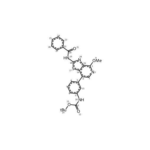 COc1ncc(-c2cccc(NC(=O)OC(C)(C)C)c2)c2sc(NC(=O)c3ccccc3)nc12